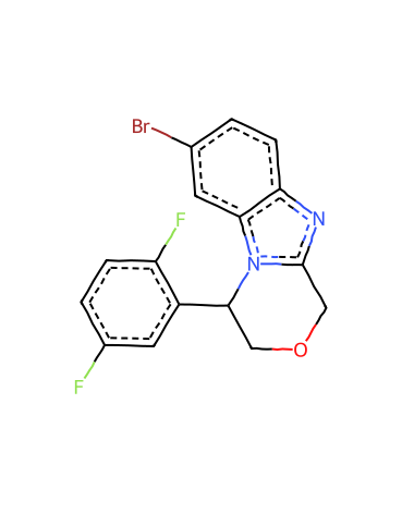 Fc1ccc(F)c(C2COCc3nc4ccc(Br)cc4n32)c1